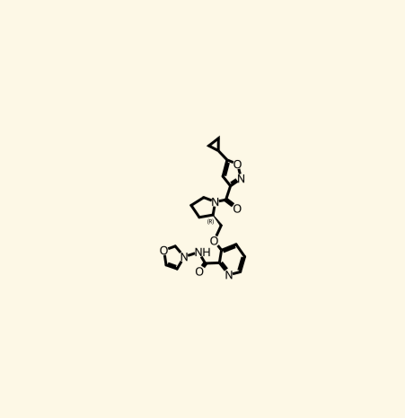 O=C(NN1C=COC1)c1ncccc1OC[C@H]1CCCN1C(=O)c1cc(C2CC2)on1